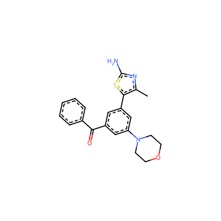 Cc1nc(N)sc1-c1cc(C(=O)c2ccccc2)cc(N2CCOCC2)c1